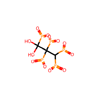 O=P(=O)C(P(=O)=O)C(P(=O)=O)(P(=O)=O)C(O)(O)P(=O)=O